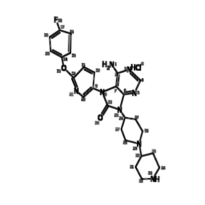 Cl.Nc1ncnc2c1n(-c1ccc(Oc3ccc(F)cc3)nc1)c(=O)n2C1CCN(C2CCNCC2)CC1